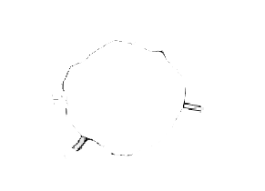 O=C1CCCCC(=O)ONCCCCCNO1